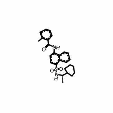 Cc1ccccc1C(=O)Nc1ccc(S(=O)(=O)N[C@H](C)C2CCCCC2)c2ccccc12